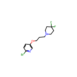 FC1(F)CCN(CCCOc2ccc(Br)nc2)CC1